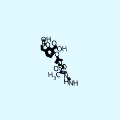 C/C(=C\NC=N)S(=O)(=O)N1CC(Oc2ccc3c(c2C(=O)O)OB(O)CC3)C1